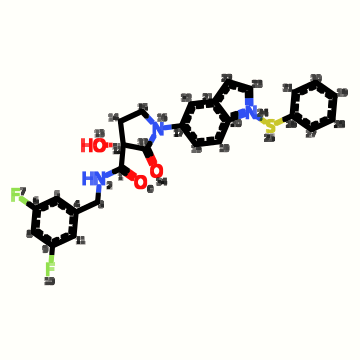 O=C(NCc1cc(F)cc(F)c1)[C@@]1(O)CCN(c2ccc3c(ccn3Sc3ccccc3)c2)C1=O